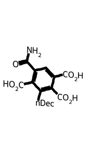 CCCCCCCCCCc1c(C(=O)O)c(C(N)=O)cc(C(=O)O)c1C(=O)O